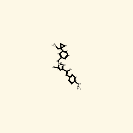 Cc1cc(C(F)=Cc2ccc(SC(F)(F)F)cc2)nn1Cc1cccc(C2(CO)CC2)c1